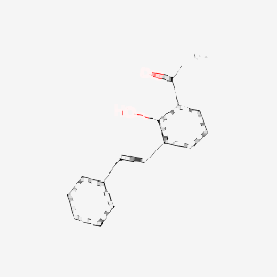 COC(=O)c1cccc(C=Cc2ccccc2)c1O